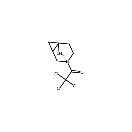 CC12CCN(C(=O)C(Cl)(Cl)Cl)CC1C2